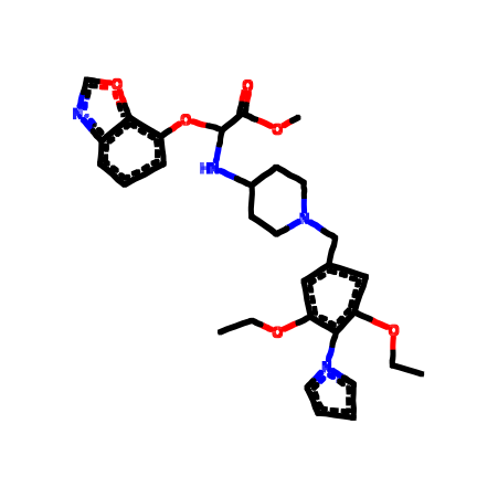 CCOc1cc(CN2CCC(NC(Oc3cccc4ncoc34)C(=O)OC)CC2)cc(OCC)c1-n1cccc1